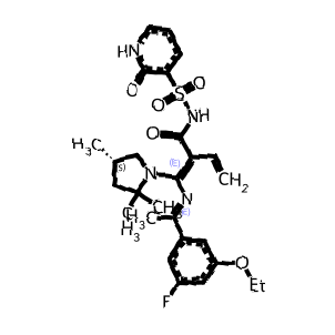 C=C/C(C(=O)NS(=O)(=O)c1ccc[nH]c1=O)=C(\N=C(/C)c1cc(F)cc(OCC)c1)N1C[C@@H](C)CC1(C)C